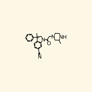 CC1CN(CC(=O)N2C[C@@](C)(c3ccccc3)c3ccc(C#N)cc32)CCN1